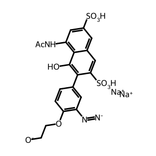 CC(=O)Nc1cc(S(=O)(=O)O)cc2cc(S(=O)(=O)O)c(-c3ccc(OCC[O-])c(N=[N-])c3)c(O)c12.[Na+].[Na+]